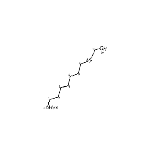 CCCCCCCCCCCCCSCO